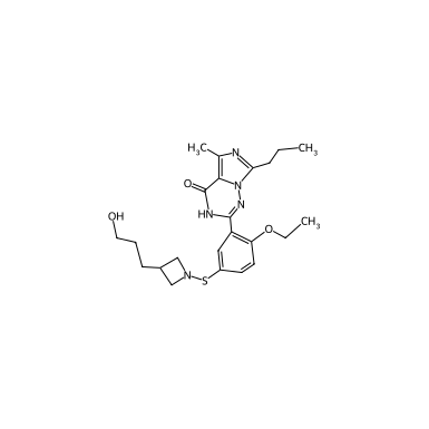 CCCc1nc(C)c2c(=O)[nH]c(-c3cc(SN4CC(CCCO)C4)ccc3OCC)nn12